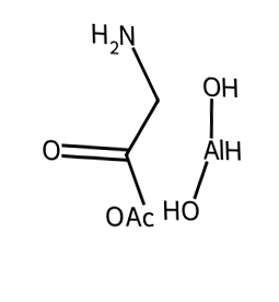 CC(=O)OC(=O)CN.[OH][AlH][OH]